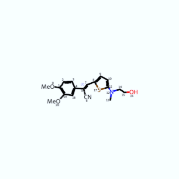 COc1ccc(/C(C#N)=C/c2ccc(N(C)CCO)s2)cc1OC